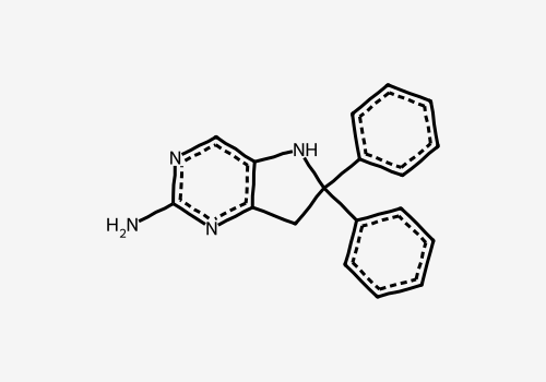 Nc1ncc2c(n1)CC(c1ccccc1)(c1ccccc1)N2